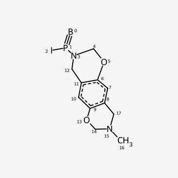 B#P(I)N1COc2cc3c(cc2C1)OCN(C)C3